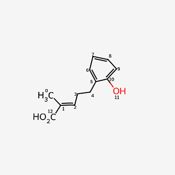 CC(=CCCc1ccccc1O)C(=O)O